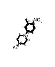 CC(=O)N1CCN(c2ccc([N+](=O)[O-])c(C)c2)CC1